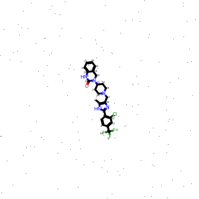 Cc1[nH]c(-c2ccc(C(F)(F)F)cc2Cl)nc1CN1CCC(N2Cc3ccccc3NC2=O)CC1